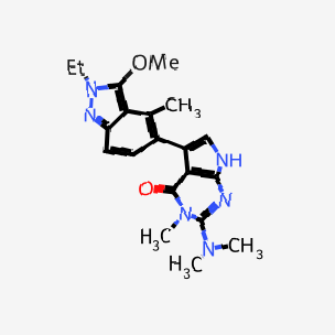 CCn1nc2ccc(-c3c[nH]c4nc(N(C)C)n(C)c(=O)c34)c(C)c2c1OC